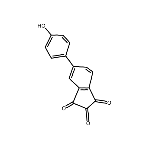 O=c1c(=O)c2ccc(-c3ccc(O)cc3)cc2c1=O